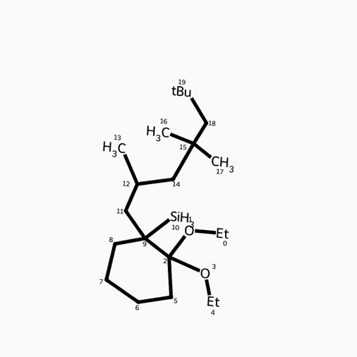 CCOC1(OCC)CCCCC1([SiH3])CC(C)CC(C)(C)CC(C)(C)C